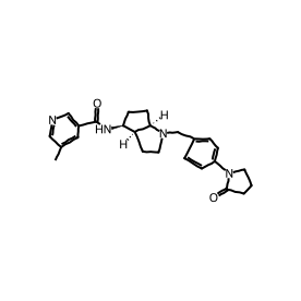 Cc1cncc(C(=O)N[C@H]2CC[C@@H]3[C@H]2CCN3Cc2ccc(N3CCCC3=O)cc2)c1